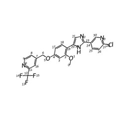 COc1cc(OCc2ccnc(C(F)(F)F)c2)ccc1-c1cnc(-c2ccc(Cl)nc2)[nH]1